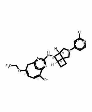 CC(C)/C1=C/C=C(/OCC(F)(F)F)Cc2cc1nc(N[C@@H]1[C@@H]3CCC34CN(c3ccnc(Cl)c3)C[C@@H]14)n2